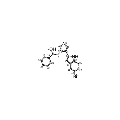 OC(Cn1cncc1-c1cc2cc(Br)ccc2[nH]1)c1ccccc1